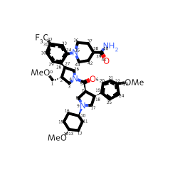 COC[C@H]1CN(C(=O)[C@@H]2CN([C@H]3CC[C@H](OC)CC3)C[C@H]2c2ccc(OC)cc2)C[C@@H]1c1ccc(C(F)(F)F)cc1N1CCC(C(N)=O)CC1